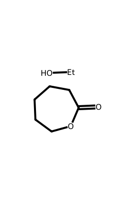 CCO.O=C1CCCCCO1